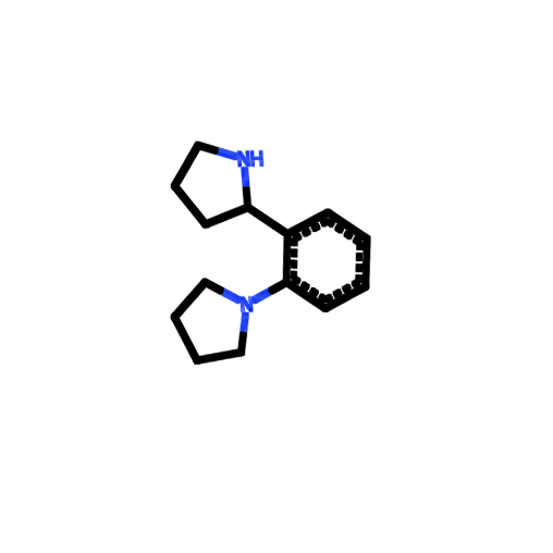 c1ccc(N2CCCC2)c(C2CCCN2)c1